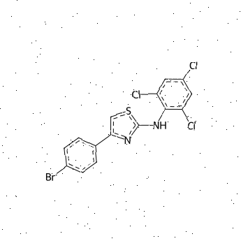 Clc1cc(Cl)c(Nc2nc(-c3ccc(Br)cc3)cs2)c(Cl)c1